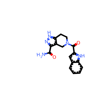 NC(=O)c1n[nH]c2c1CN(C(=O)c1cc3ccccc3[nH]1)CC2